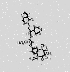 CCN1C(=O)C(C)(C)C(=O)N(C)c2cc(OCCCNC(CCn3ccc4occc4c3=O)c3ccncc3)ccc21.Cl.Cl